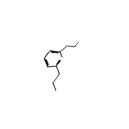 CCCc1cccc(CCN)n1